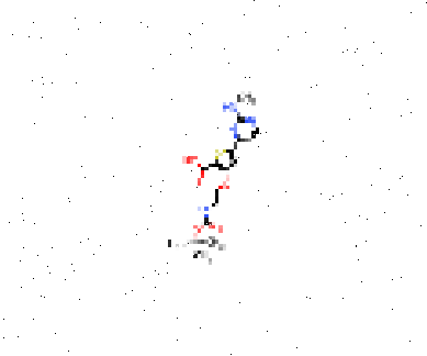 CNc1nccc(-c2cc(OCCNC(=O)OC(C)(C)C)c(C(=O)O)s2)n1